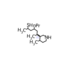 CCCC(C/C(C)=C1\CNCCC1C)CC(C)S